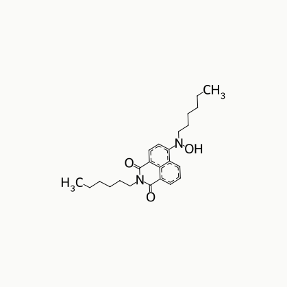 CCCCCCN1C(=O)c2cccc3c(N(O)CCCCCC)ccc(c23)C1=O